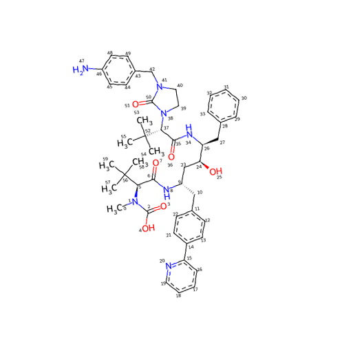 CN(C(=O)O)[C@H](C(=O)N[C@@H](Cc1ccc(-c2ccccn2)cc1)C[C@H](O)[C@H](Cc1ccccc1)NC(=O)[C@@H](N1CCN(Cc2ccc(N)cc2)C1=O)C(C)(C)C)C(C)(C)C